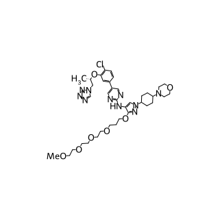 COCCOCCOCCOCCCOc1nn(C2CCC(N3CCOCC3)CC2)cc1Nc1ncc(-c2ccc(Cl)c(O[C@@H](C)Cn3cnnn3)c2)cn1